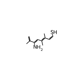 C=C(C)/C(N)=C/C(C)=C(C)/C=C\S